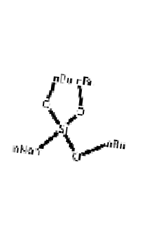 CCCCCCCCC[Si](OCCCC)(OCCCC)OCCCC